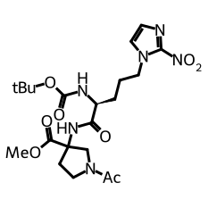 COC(=O)C1(NC(=O)[C@H](CCCn2ccnc2[N+](=O)[O-])NC(=O)OC(C)(C)C)CCN(C(C)=O)C1